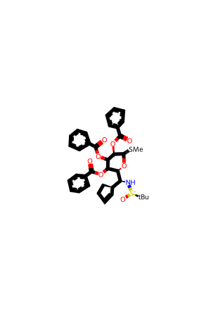 CSC1O[C@H]([C@H](N[S@+]([O-])C(C)(C)C)[C@H]2C=CCC2)C(OC(=O)c2ccccc2)C(OC(=O)c2ccccc2)[C@H]1OC(=O)c1ccccc1